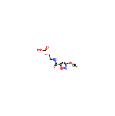 COc1cc(C(=O)NCCCC(=O)O)on1